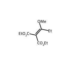 CCOC(=O)C(C(=O)OCC)=C(CC)OC